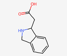 O=C(O)CC1NCc2ccccc21